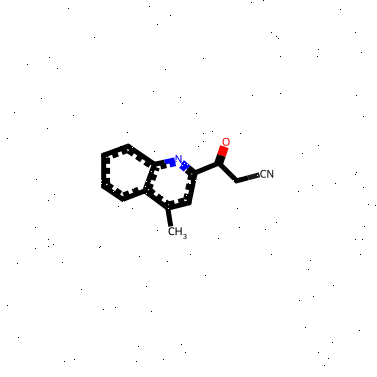 Cc1cc(C(=O)CC#N)nc2ccccc12